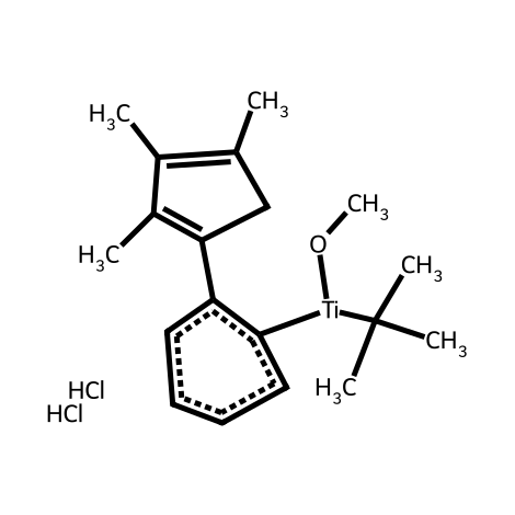 C[O][Ti]([c]1ccccc1C1=C(C)C(C)=C(C)C1)[C](C)(C)C.Cl.Cl